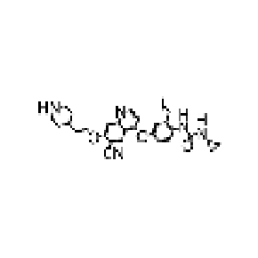 N#Cc1cc2c(Oc3ccc(NC(=O)NC4CC4)c(CI)c3)ccnc2cc1OCCC1CCNCC1